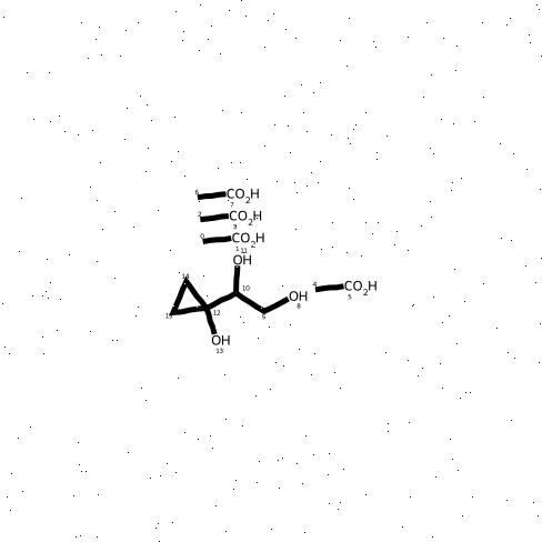 CC(=O)O.CC(=O)O.CC(=O)O.CC(=O)O.OCC(O)C1(O)CC1